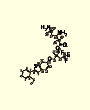 CCc1ccccc1-c1cc2ccc(OCC(C)(COC(=O)C(C)(C)C(N)CC(C)(C)N)CC(F)(F)F)cc2s1